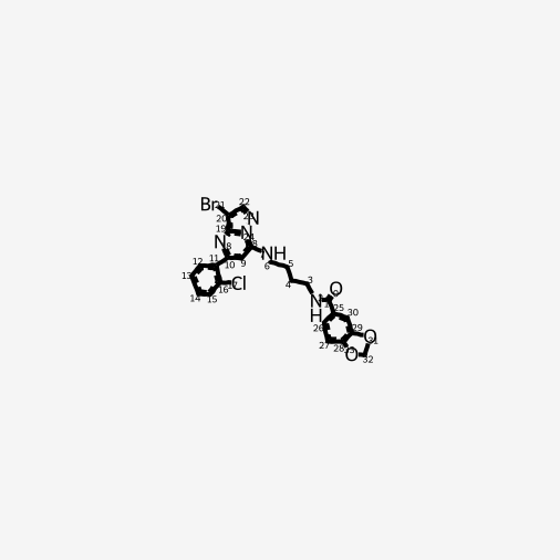 O=C(NCCCCNc1cc(-c2ccccc2Cl)nc2c(Br)cnn12)c1ccc2c(c1)OCO2